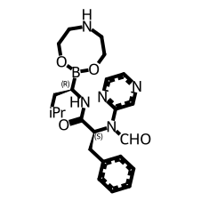 CC(C)C[C@H](NC(=O)[C@H](Cc1ccccc1)N(C=O)c1cnccn1)B1OCCNCCO1